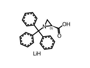 O=C(O)[C@@H]1CN1C(c1ccccc1)(c1ccccc1)c1ccccc1.[LiH]